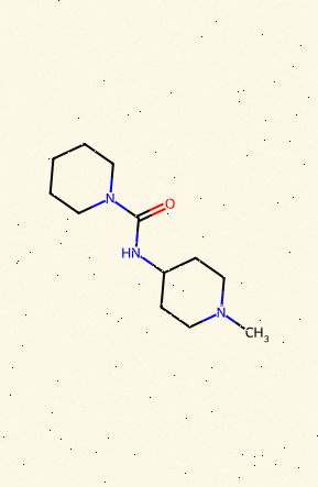 CN1CCC(NC(=O)N2CC[CH]CC2)CC1